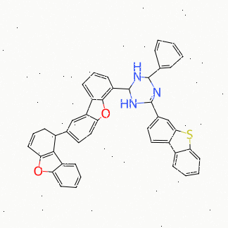 C1=Cc2oc3ccccc3c2C(c2ccc3oc4c(C5NC(c6ccc7c(c6)sc6ccccc67)=NC(c6ccccc6)N5)cccc4c3c2)C1